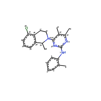 Cc1ccccc1Nc1nc(C)c(C)c(N2CCc3c(Cl)cccc3C2C)n1